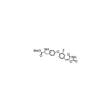 COC(=O)C(N)Cc1ccc(Oc2ccc(/C=C3/OC(=O)NC3=O)cc2F)cc1